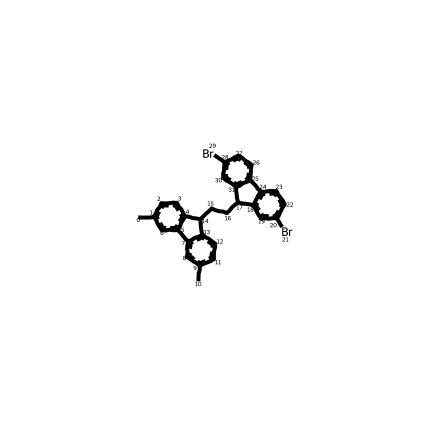 Cc1ccc2c(c1)-c1cc(C)ccc1C2CCC1c2cc(Br)ccc2-c2ccc(Br)cc21